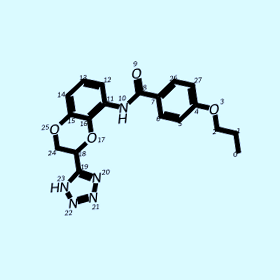 CCCOc1ccc(C(=O)Nc2cccc3c2OC(c2nnn[nH]2)CO3)cc1